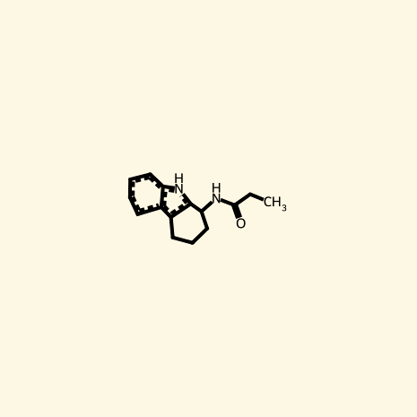 CCC(=O)NC1CCCc2c1[nH]c1ccccc21